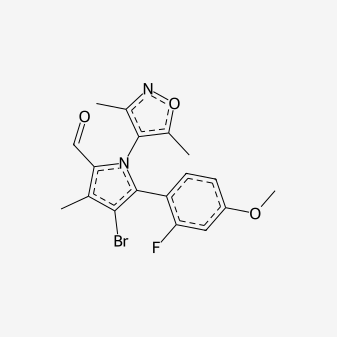 COc1ccc(-c2c(Br)c(C)c(C=O)n2-c2c(C)noc2C)c(F)c1